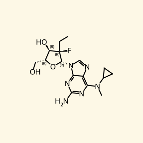 CC[C@@]1(F)[C@H](O)[C@@H](CO)O[C@H]1n1cnc2c(N(C)C3CC3)nc(N)nc21